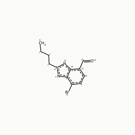 CCCCn1nc2c(Br)ccc(C=O)c2n1